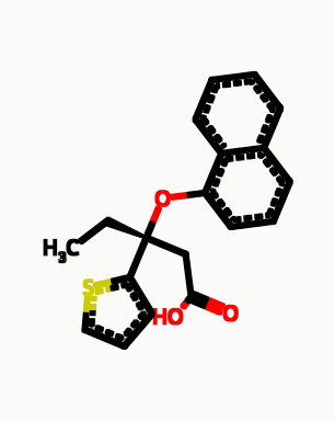 CC[C@](CC(=O)O)(Oc1cccc2ccccc12)c1cccs1